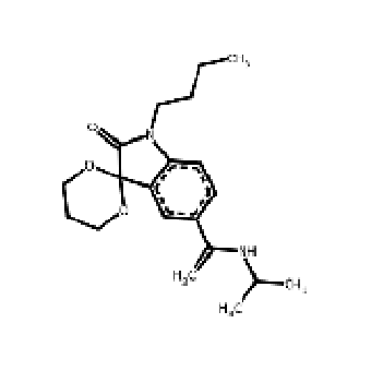 C=C(NC(C)C)c1ccc2c(c1)C1(OCCCO1)C(=O)N2CCCC